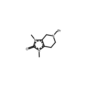 CC(C)N1CCc2c(n(C)c(=O)n2C)C1